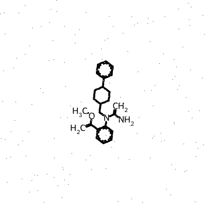 C=C(OC)c1ccccc1N(CC1CCC(c2ccccc2)CC1)C(=C)N